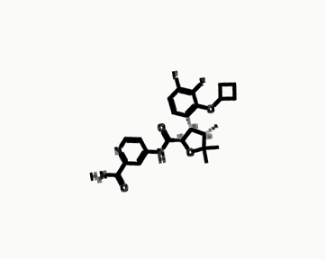 C[C@H]1[C@@H](c2ccc(F)c(F)c2OC2CCC2)[C@H](C(=O)Nc2ccnc(C(N)=O)c2)OC1(C)C